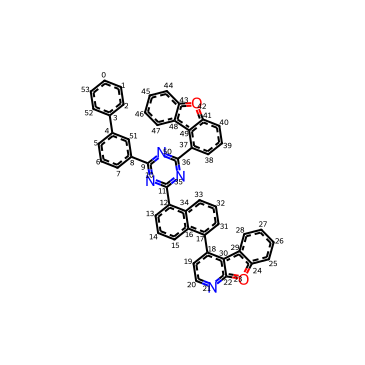 c1ccc(-c2cccc(-c3nc(-c4cccc5c(-c6ccnc7oc8ccccc8c67)cccc45)nc(-c4cccc5oc6ccccc6c45)n3)c2)cc1